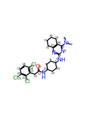 CN(C)c1nc(NC2CCC(NC(=O)Cc3c(Cl)ccc(Cl)c3Cl)CC2)nc2c1CCCC2